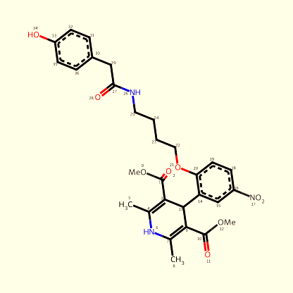 COC(=O)C1=C(C)NC(C)=C(C(=O)OC)C1c1cc([N+](=O)[O-])ccc1OCCCCNC(=O)Cc1ccc(O)cc1